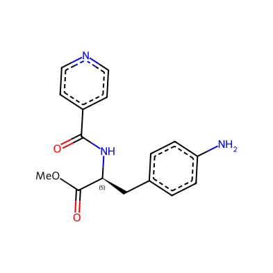 COC(=O)[C@H](Cc1ccc(N)cc1)NC(=O)c1ccncc1